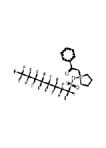 O=C(CS1(OS(=O)(=O)C(F)(F)C(F)(F)C(F)(F)C(F)(F)C(F)(F)C(F)(F)C(F)(F)C(F)(F)F)CCCC1)c1ccccc1